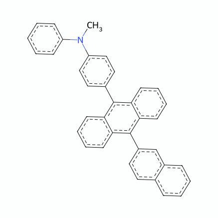 CN(c1ccccc1)c1ccc(-c2c3ccccc3c(-c3ccc4ccccc4c3)c3ccccc23)cc1